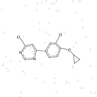 Clc1cc(-c2ccc(OC3CC3)c(Cl)c2)ncn1